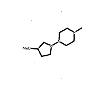 COC1CCN(N2CCN(C)CC2)C1